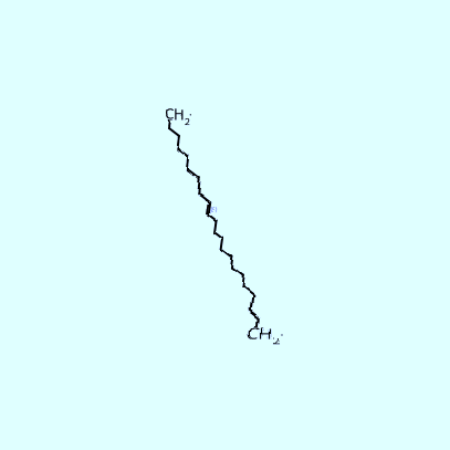 [CH2]CCCCCCC/C=C/CCCCCCCCCCC[CH2]